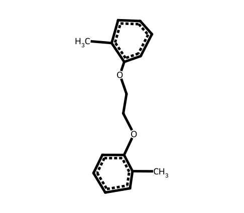 Cc1ccccc1OCCOc1ccccc1C